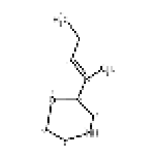 CCC=C(C)C1CNCCO1